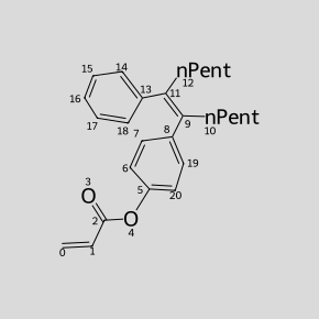 C=CC(=O)Oc1ccc(C(CCCCC)=C(CCCCC)c2ccccc2)cc1